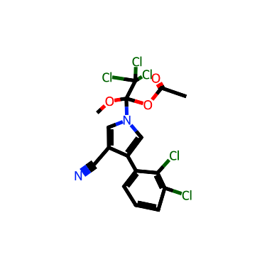 COC(OC(C)=O)(n1cc(C#N)c(-c2cccc(Cl)c2Cl)c1)C(Cl)(Cl)Cl